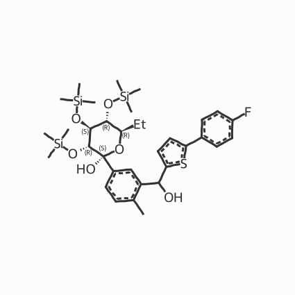 CC[C@H]1O[C@@](O)(c2ccc(C)c(C(O)c3ccc(-c4ccc(F)cc4)s3)c2)[C@H](O[Si](C)(C)C)[C@@H](O[Si](C)(C)C)[C@@H]1O[Si](C)(C)C